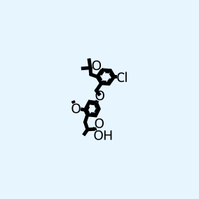 COc1cc(OCc2cc(Cl)cc3c2CC(C)(C)O3)ccc1CC(C)C(=O)O